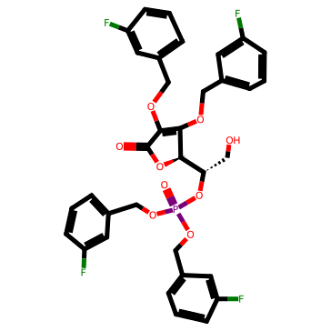 O=C1O[C@H]([C@H](CO)OP(=O)(OCc2cccc(F)c2)OCc2cccc(F)c2)C(OCc2cccc(F)c2)=C1OCc1cccc(F)c1